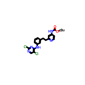 CC(C)(C)OC(=O)Nc1ccnc(CCc2cccc(Nc3nc(Cl)ncc3Cl)c2)c1